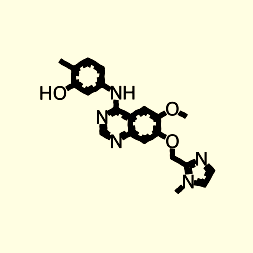 COc1cc2c(Nc3ccc(C)c(O)c3)ncnc2cc1OCc1nccn1C